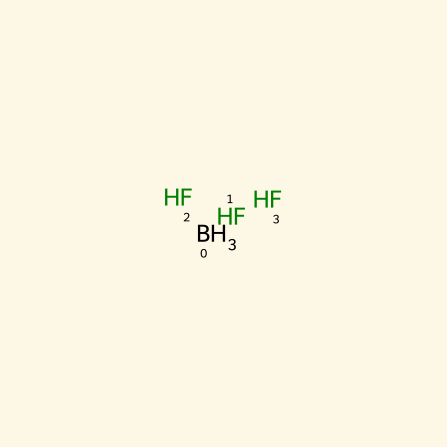 B.F.F.F